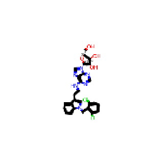 OC[C@H]1O[C@@H](n2cnc3c(NCCc4cn(Cc5c(Cl)cccc5Cl)c5ccccc45)ncnc32)[C@H](O)[C@@H]1O